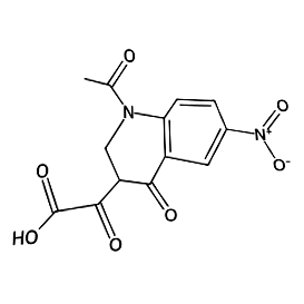 CC(=O)N1CC(C(=O)C(=O)O)C(=O)c2cc([N+](=O)[O-])ccc21